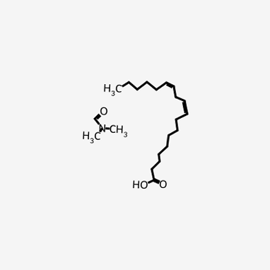 CCCCC/C=C\C/C=C\CCCCCCCC(=O)O.CN(C)C=O